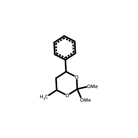 COC1(OC)OC(C)CC(c2ccccc2)O1